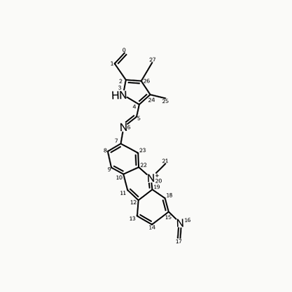 C=Cc1[nH]c(C=Nc2ccc3cc4ccc(N=C)cc4[n+](C)c3c2)c(C)c1C